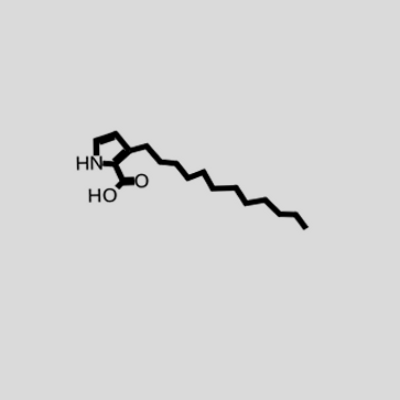 CCCCCCCCCCCCc1cc[nH]c1C(=O)O